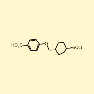 CCCCCCCC[C@H]1CC[C@H](COc2ccc(C(=O)O)cc2)CC1